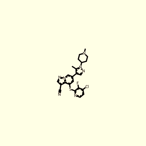 Cc1c(-c2cc(Sc3nccc(Cl)c3F)c3c(C#N)cnn3c2)cnn1C1CCN(C)CC1